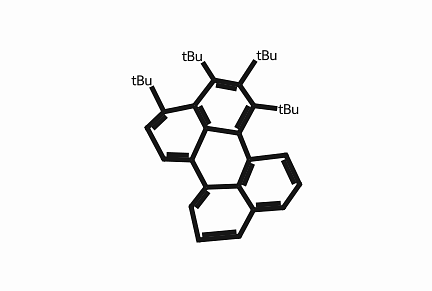 CC(C)(C)c1c(C(C)(C)C)c2c(C(C)(C)C)ccc3c4cccc5cccc(c(c1C(C)(C)C)c23)c54